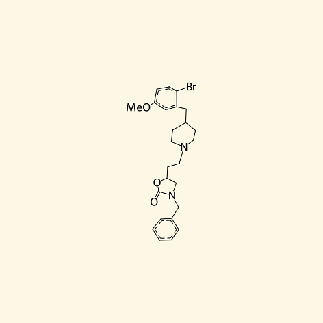 COc1ccc(Br)c(CC2CCN(CCC3CN(Cc4ccccc4)C(=O)O3)CC2)c1